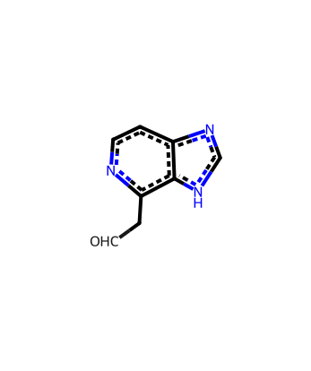 O=CCc1nccc2nc[nH]c12